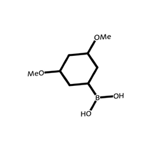 COC1CC(OC)CC(B(O)O)C1